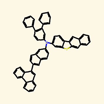 c1ccc(-c2ccc(N(c3ccc4cc(-c5cc6ccccc6c6ccccc56)ccc4c3)c3ccc4c(c3)sc3cc5ccccc5cc34)cc2-c2ccccc2)cc1